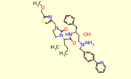 CC[C@H](C)[C@@H](C(=O)N[C@@H](Cc1ccccc1)[C@H](O)CN(N)Cc1ccc(-c2ccccn2)cc1)N1CCN(Cc2csc(COC)n2)C1=O